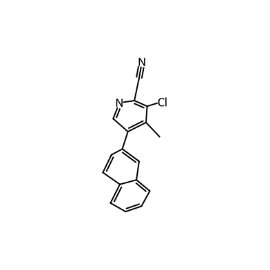 Cc1c(-c2ccc3ccccc3c2)cnc(C#N)c1Cl